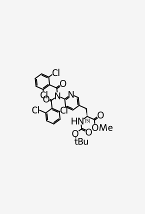 COC(=O)[C@H](Cc1ccc(N(C(=O)c2c(Cl)cccc2Cl)C(=O)c2c(Cl)cccc2Cl)nc1)NC(=O)OC(C)(C)C